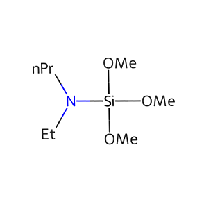 CCCN(CC)[Si](OC)(OC)OC